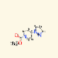 CC(C)(C)OC(=O)N1CCC(n2cccn2)CC1